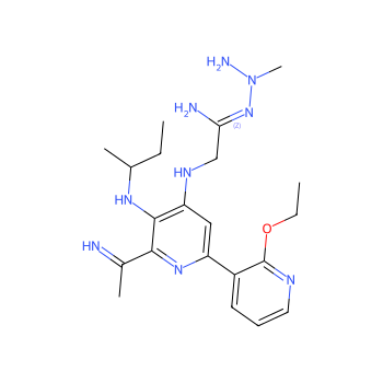 CCOc1ncccc1-c1cc(NC/C(N)=N/N(C)N)c(NC(C)CC)c(C(C)=N)n1